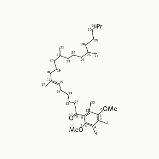 COc1c(C)c(C)c(OC)c(C(=O)CCCC/C=C(\C)CCCC(C)CCCC(C)CCCC(C)C)c1C